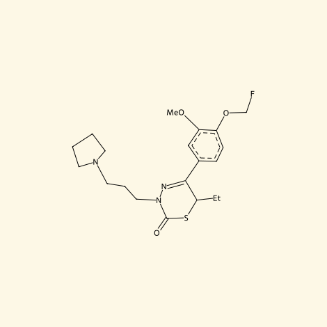 CCC1SC(=O)N(CCCN2CCCC2)N=C1c1ccc(OCF)c(OC)c1